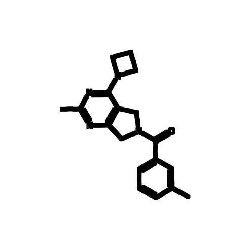 Cc1cccc(C(=O)N2Cc3nc(C)nc(N4CCC4)c3C2)c1